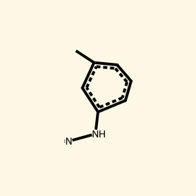 Cc1cccc(N[N])c1